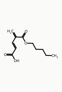 C=C(C=CC(=O)O)C(=O)OCCCCC